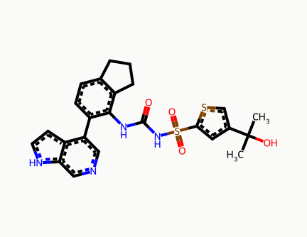 CC(C)(O)c1csc(S(=O)(=O)NC(=O)Nc2c(-c3cncc4[nH]ccc34)ccc3c2CCC3)c1